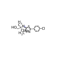 Cn1nc(-c2ccc(Cl)cc2)s/c1=N/C(C)(C)CO